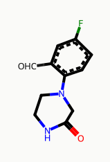 O=Cc1cc(F)ccc1N1CCNC(=O)C1